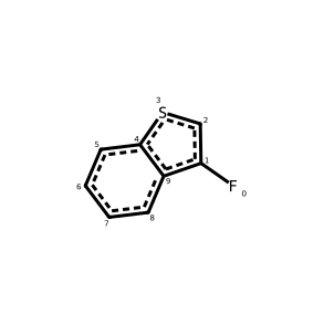 Fc1csc2ccccc12